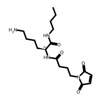 CCCCNC(=O)[C@H](CCCCN)NC(=O)CCCN1C(=O)C=CC1=O